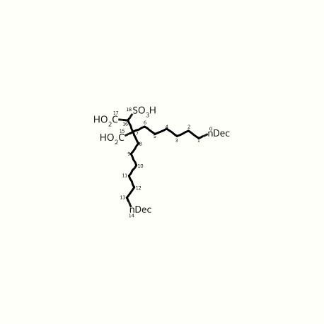 CCCCCCCCCCCCCCCCC(CCCCCCCCCCCCCCCC)(C(=O)O)C(C(=O)O)S(=O)(=O)O